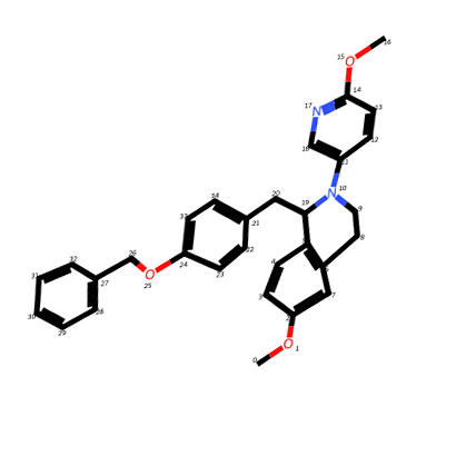 COc1ccc2c(c1)CCN(c1ccc(OC)nc1)C2Cc1ccc(OCc2ccccc2)cc1